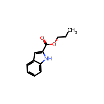 CCCOC(=O)c1cc2ccccc2[nH]1